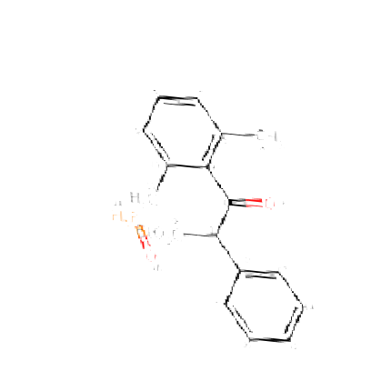 CCOC(=O)C(C(=O)c1c(C)cccc1C)c1ccccc1.O=[PH3]